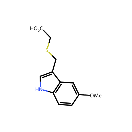 COc1ccc2[nH]cc(CSCC(=O)O)c2c1